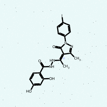 CC1=NN(c2ccc(I)cc2)C(=O)/C1=C(/C)NNC(=O)c1ccc(O)cc1O